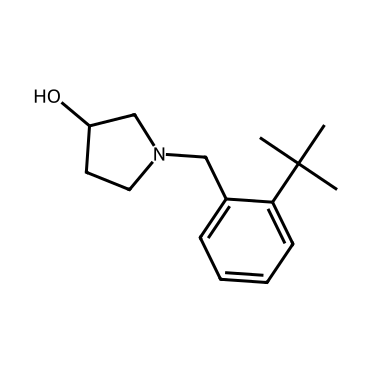 CC(C)(C)c1ccccc1CN1CCC(O)C1